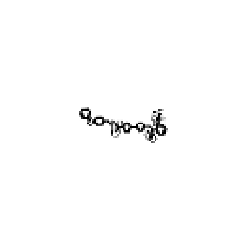 [O][N]C(Cc1ccc(-c2ccc(C(=O)NCCc3ccc(Oc4ccccc4)cc3)cc2)cc1)c1ccccc1OC(F)(F)F